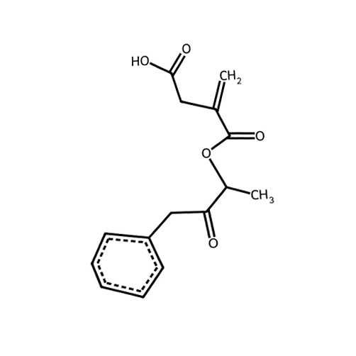 C=C(CC(=O)O)C(=O)OC(C)C(=O)Cc1ccccc1